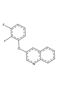 Fc1cccc(Oc2cnc3ccccc3c2)c1I